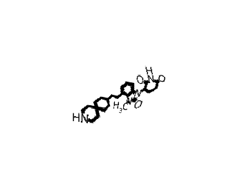 Cn1c(=O)n(C2CCC(=O)NC2=O)c2cccc(CCC3CCC4(CCNCC4)CC3)c21